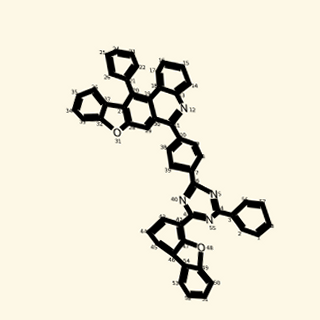 c1ccc(-c2nc(-c3ccc(-c4nc5ccccc5c5c(-c6ccccc6)c6c(cc45)oc4ccccc46)cc3)nc(-c3cccc4c3oc3ccccc34)n2)cc1